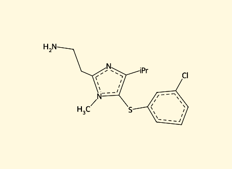 CC(C)c1nc(CCN)n(C)c1Sc1cccc(Cl)c1